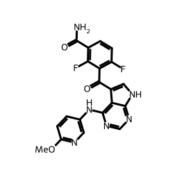 COc1ccc(Nc2ncnc3[nH]cc(C(=O)c4c(F)ccc(C(N)=O)c4F)c23)cn1